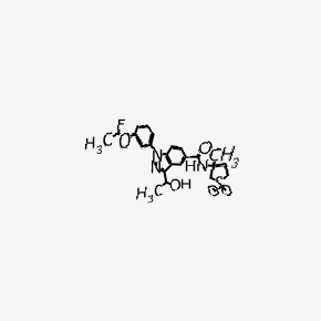 CC(F)Oc1cccc(-n2nc(C(C)O)c3cc(C(=O)NC4(C)CCS(=O)(=O)C4)ccc32)c1